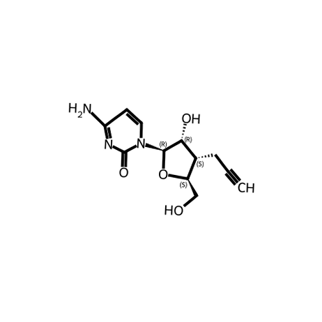 C#CC[C@H]1[C@@H](O)[C@H](n2ccc(N)nc2=O)O[C@@H]1CO